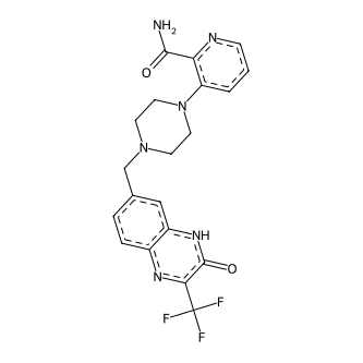 NC(=O)c1ncccc1N1CCN(Cc2ccc3nc(C(F)(F)F)c(=O)[nH]c3c2)CC1